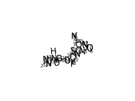 COc1cnc2c(-c3nc4cc(F)c(OCCOC(=O)Nc5cnc(C)nc5)cc4s3)cc(C#N)cc2n1